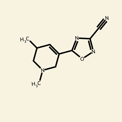 CC1C=C(c2nc(C#N)no2)CN(C)C1